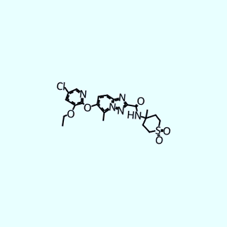 CCOc1cc(Cl)cnc1Oc1ccc2nc(C(=O)NC3(C)CCS(=O)(=O)CC3)nn2c1C